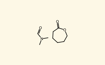 CN(C)C=O.O=C1CCCCCO1